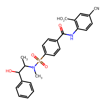 CC(C(O)c1ccccc1)N(C)S(=O)(=O)c1ccc(C(=O)Nc2ccc(C#N)cc2C(=O)O)cc1